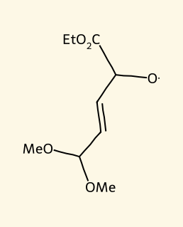 CCOC(=O)C([O])C=CC(OC)OC